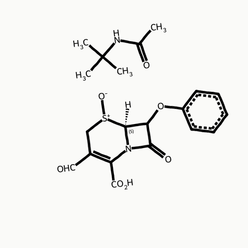 CC(=O)NC(C)(C)C.O=CC1=C(C(=O)O)N2C(=O)C(Oc3ccccc3)[C@@H]2[S+]([O-])C1